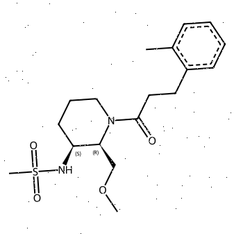 COC[C@H]1[C@@H](NS(C)(=O)=O)CCCN1C(=O)CCc1ccccc1C